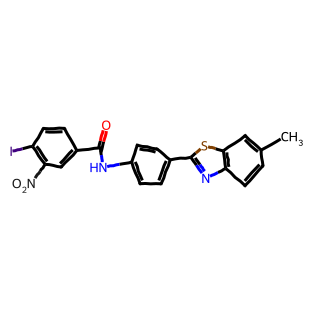 Cc1ccc2nc(-c3ccc(NC(=O)c4ccc(I)c([N+](=O)[O-])c4)cc3)sc2c1